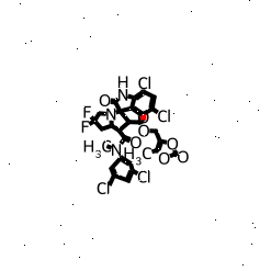 Cc1oc(=O)oc1COC(=O)C1C(C(=O)N(C)c2cc(Cl)cc(Cl)c2)C2CC(F)(F)CN2C12C(=O)Nc1c(Cl)cc(Cl)cc12